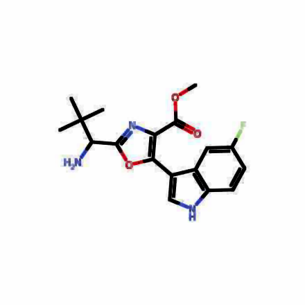 COC(=O)c1nc(C(N)C(C)(C)C)oc1-c1c[nH]c2ccc(F)cc12